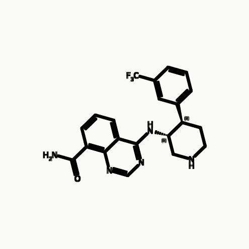 NC(=O)c1cccc2c(N[C@H]3CNCC[C@@H]3c3cccc(C(F)(F)F)c3)ncnc12